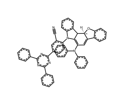 N#Cc1cc(-c2nc(-c3ccccc3)nc(-c3ccccc3)n2)ccc1N1C2=C(N(c3ccccc3)c3ccccc3)C=C3c4ccccc4O[C@@H]3C2c2ccccc21